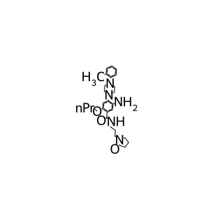 CCCOc1cc(N2CCN(c3ccccc3C)CC2)c(N)cc1C(=O)NCCCN1CCCC1=O